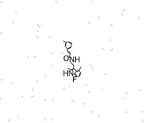 Cc1cccc(/C=C/C(=O)NCCc2c(C)[nH]c3c(F)ccc(C)c23)c1